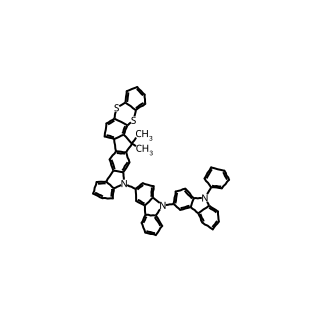 CC1(C)c2cc3c(cc2-c2ccc4c(c21)Sc1ccccc1S4)c1ccccc1n3-c1ccc2c(c1)c1ccccc1n2-c1ccc2c(c1)c1ccccc1n2-c1ccccc1